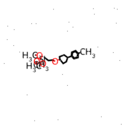 CO[Si](CCCOC1CCC(c2ccc(C)cc2)CC1)(OC)OC